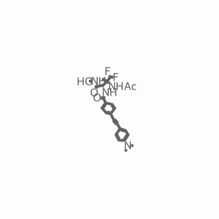 CC(=O)NC(C)(C(F)F)[C@H](NC(=O)c1ccc(C#Cc2ccc(N(C)C)cc2)cc1)C(=O)NO